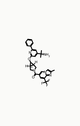 Cc1cn2cc(C(=O)N3C[C@@H]4C(Oc5cc(C(C)(C)N)cc(-c6ccccc6)n5)[C@@H]4C3)cc(C(F)(F)F)c2n1